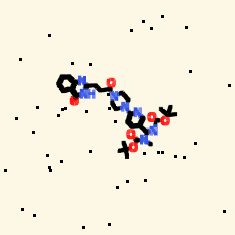 CN(C(=O)OC(C)(C)C)/C(=N/C(=O)OC(C)(C)C)c1ccc(N2CCN(C(=O)CCc3nc4ccccc4c(=O)[nH]3)CC2)nc1